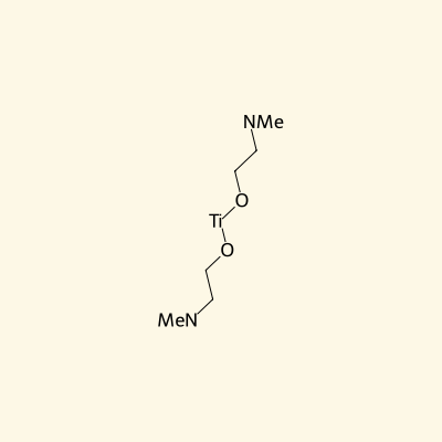 CNCC[O][Ti][O]CCNC